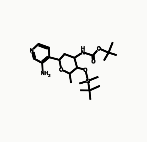 CC1OC(c2ccncc2N)CC(NC(=O)OC(C)(C)C)C1O[Si](C)(C)C(C)(C)C